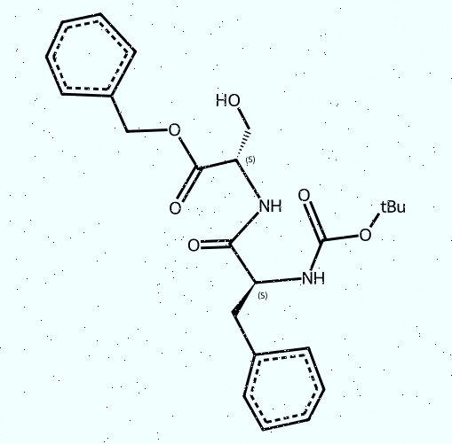 CC(C)(C)OC(=O)N[C@@H](Cc1ccccc1)C(=O)N[C@@H](CO)C(=O)OCc1ccccc1